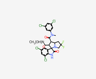 CN(O)C(=O)C1C(C(=O)N(C)c2cc(Cl)cc(Cl)c2)C2CC(F)(F)CN2C12C(=O)Nc1c(Cl)cc(Cl)cc12